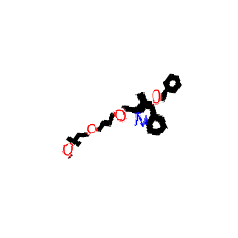 COC(C)(C)CCOCCCCOCc1nc2ccccc2c(OCc2ccccc2)c1C